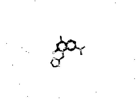 Cc1cc(=O)n(CC2OCCO2)c2cc(N(C)C)ccc12